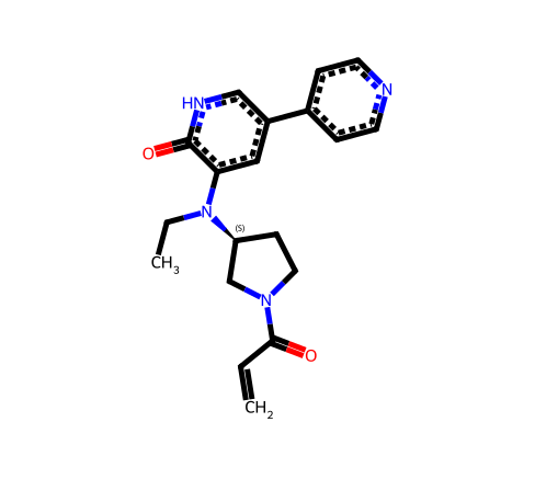 C=CC(=O)N1CC[C@H](N(CC)c2cc(-c3ccncc3)c[nH]c2=O)C1